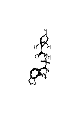 Cn1nc(C(C)(C)NC(=O)[C@H]2[C@@H]3CNC[C@@H]32)c2ccc3c(c21)OCC3